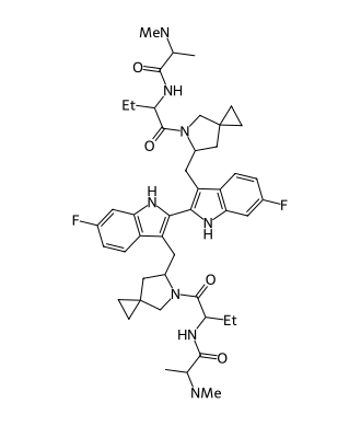 CCC(NC(=O)C(C)NC)C(=O)N1CC2(CC2)CC1Cc1c(-c2[nH]c3cc(F)ccc3c2CC2CC3(CC3)CN2C(=O)C(CC)NC(=O)C(C)NC)[nH]c2cc(F)ccc12